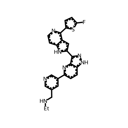 CCNCc1cncc(-c2ccc3[nH]nc(-c4cc5c(-c6ccc(F)s6)nccc5[nH]4)c3n2)c1